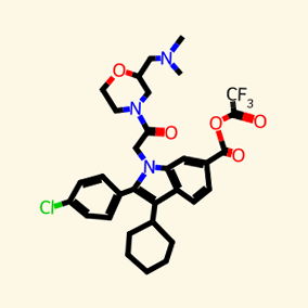 CN(C)CC1CN(C(=O)Cn2c(-c3ccc(Cl)cc3)c(C3CCCCC3)c3ccc(C(=O)OC(=O)C(F)(F)F)cc32)CCO1